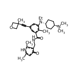 CCN(c1cc(C#CC2(C)COC2)cc(C(=O)NCc2c(C)[nH]c(C)cc2=O)c1C)[C@H]1CC[C@H](N(C)C)CC1